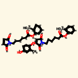 Cc1cc(O)ccc1O.O=C(CCCCCN1C(=O)C=CC1=O)Oc1ccccc1C(=O)O.O=C(CCCCCN1C(=O)C=CC1=O)Oc1ccccc1C(=O)O